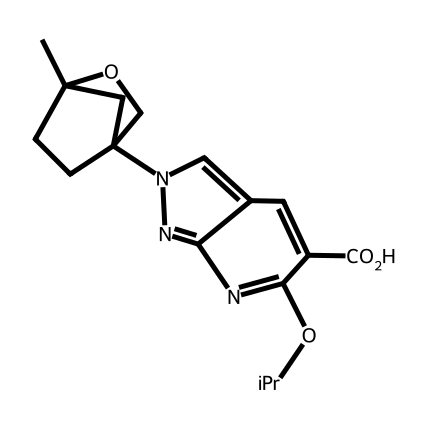 CC(C)Oc1nc2nn(C34CCC(C)(C3)OC4)cc2cc1C(=O)O